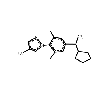 Cc1cc(C(N)C2CCCC2)cc(C)c1-n1cc(C(F)(F)F)cn1